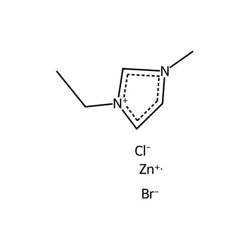 CC[n+]1ccn(C)c1.[Br-].[Cl-].[Zn+]